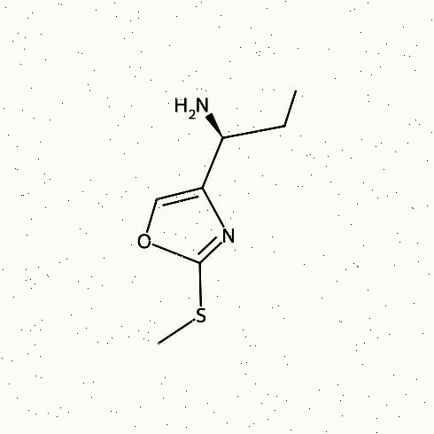 CC[C@H](N)c1coc(SC)n1